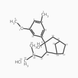 COc1cc(C)cc(C2(O)CC3CCC(C3)C2CN(C)C)c1.Cl